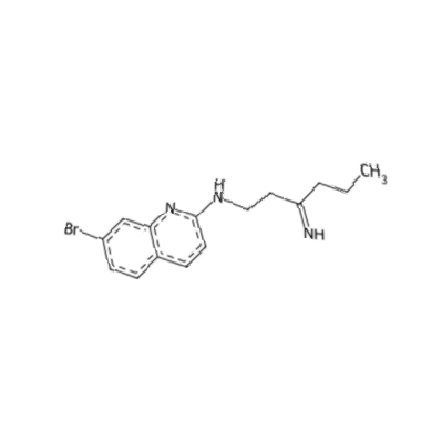 CCCC(=N)CCNc1ccc2ccc(Br)cc2n1